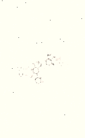 COc1cc(Cc2nccc3c(OC)c(OC)c(-c4ccccc4)cc23)cc(CO)c1CO